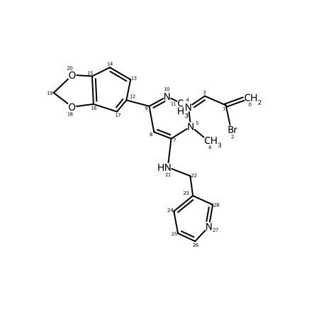 C=C(Br)/C=N\N(C)/C(=C\C(=N/C)c1ccc2c(c1)OCO2)NCc1cccnc1